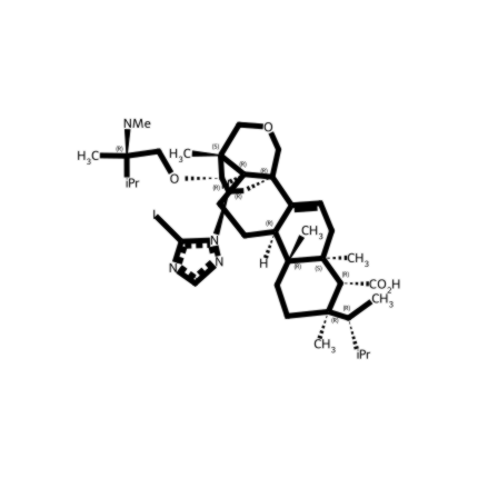 CN[C@@](C)(CO[C@H]1[C@H](n2ncnc2I)C[C@@]23COC[C@]1(C)[C@@H]2CC[C@H]1C3=CC[C@@]2(C)[C@H](C(=O)O)[C@@](C)([C@H](C)C(C)C)CC[C@]12C)C(C)C